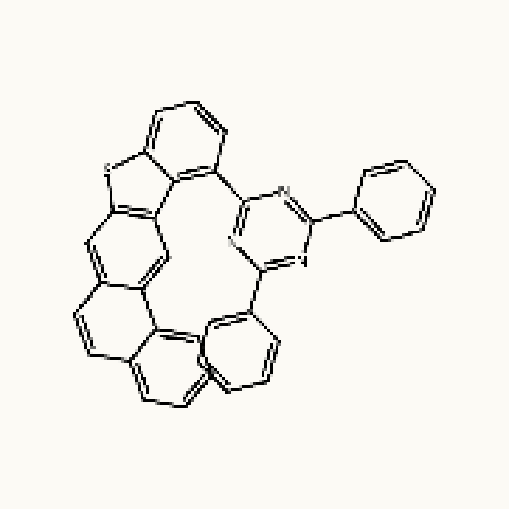 c1ccc(-c2nc(-c3ccccc3)nc(-c3cccc4sc5cc6ccc7ccccc7c6cc5c34)n2)cc1